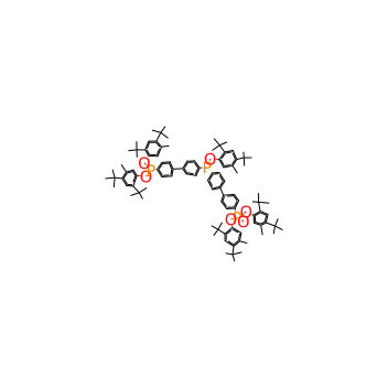 Cc1cc(OP(Oc2cc(C)c(C(C)(C)C)cc2C(C)(C)C)c2ccc(-c3ccc(P(Oc4cc(C)c(C(C)(C)C)cc4C(C)(C)C)c4ccc(-c5ccc(P(=O)(Oc6cc(C)c(C(C)(C)C)cc6C(C)(C)C)Oc6cc(C)c(C(C)(C)C)cc6C(C)(C)C)cc5)cc4)cc3)cc2)c(C(C)(C)C)cc1C(C)(C)C